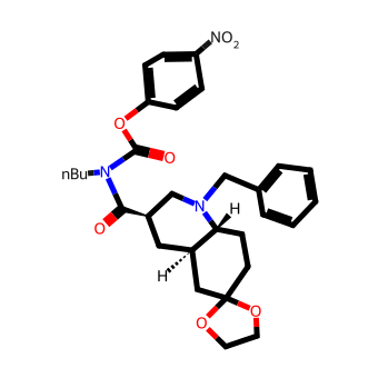 CCCCN(C(=O)Oc1ccc([N+](=O)[O-])cc1)C(=O)[C@@H]1C[C@@H]2CC3(CC[C@H]2N(Cc2ccccc2)C1)OCCO3